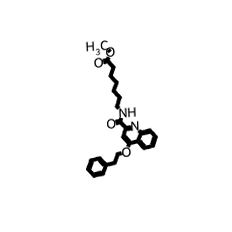 COC(=O)CCCCCCNC(=O)c1cc(OCCc2ccccc2)c2ccccc2n1